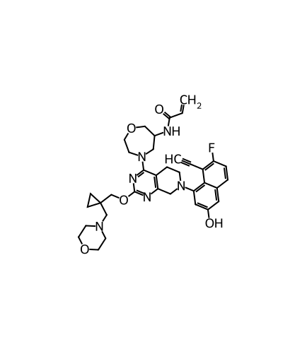 C#Cc1c(F)ccc2cc(O)cc(N3CCc4c(nc(OCC5(CN6CCOCC6)CC5)nc4N4CCOCC(NC(=O)C=C)C4)C3)c12